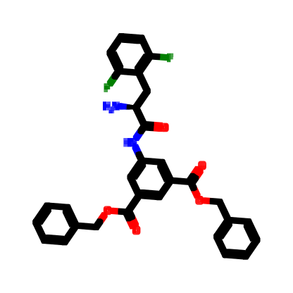 N[C@@H](Cc1c(F)cccc1F)C(=O)Nc1cc(C(=O)OCc2ccccc2)cc(C(=O)OCc2ccccc2)c1